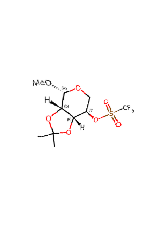 CO[C@@H]1OC[C@@H](OS(=O)(=O)C(F)(F)F)[C@@H]2OC(C)(C)O[C@H]12